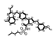 CCCCOS(=O)(=O)NC(=O)c1sc(Cc2cccc(OC)c2)cc1-c1ccc(Cn2c(CC)nc3c(C)cccc32)cc1